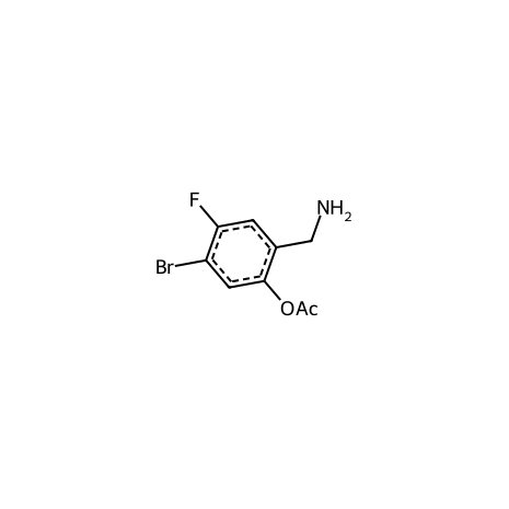 CC(=O)Oc1cc(Br)c(F)cc1CN